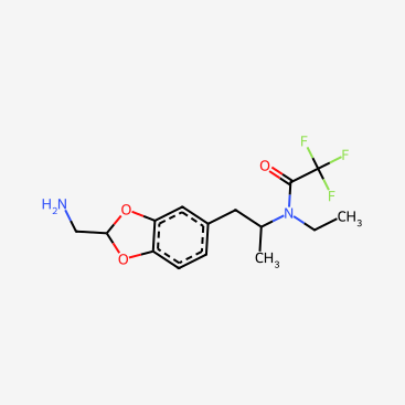 CCN(C(=O)C(F)(F)F)C(C)Cc1ccc2c(c1)OC(CN)O2